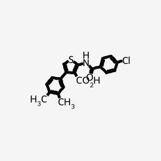 Cc1ccc(-c2csc(NC(=O)c3ccc(Cl)cc3)c2C(=O)O)cc1C